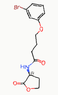 O=C(CCCOc1cccc(Br)c1)N[C@H]1CCOC1=O